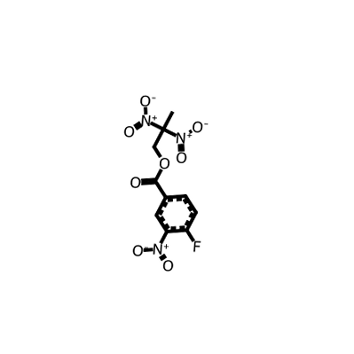 CC(COC(=O)c1ccc(F)c([N+](=O)[O-])c1)([N+](=O)[O-])[N+](=O)[O-]